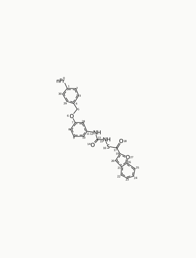 CCCc1ccc(COc2cccc(NC(=O)NSC(=O)c3cc4ccccc4o3)c2)cc1